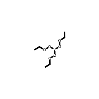 CCO[O][V]([O]OCC)[O]OCC